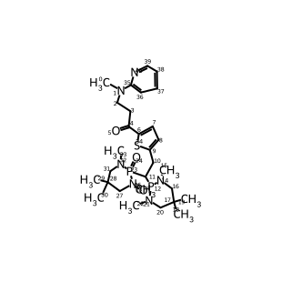 CN(CCC(=O)c1ccc(CC(P2(=O)N(C)CC(C)(C)CN2C)P2(=O)N(C)CC(C)(C)CN2C)s1)c1ccccn1